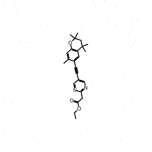 CCOC(=O)Cc1ncc(C#Cc2cc3c(cc2C)OC(C)(C)CC3(C)C)cn1